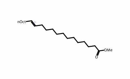 CCCCCCCC/C=C/CCCCCCCCCCCC(=O)OC